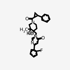 CC1(C)CN(C(=O)C2CC2c2ccccc2)CCC1(O)Cn1cnc(-c2ccccc2F)cc1=O